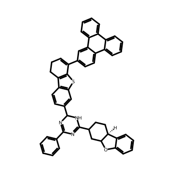 C1=C(c2ccc3c4ccccc4c4ccccc4c3c2)c2sc3cc(C4N=C(c5ccccc5)N=C(C5CC[C@H]6c7ccccc7OC6C5)N4)ccc3c2CC1